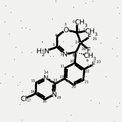 CC1(C)OCC(N)=N[C@](C)(c2cc(-c3ncc(Cl)cn3)ccc2F)C1(F)F